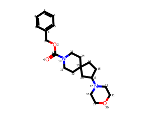 O=C(OCc1ccccc1)N1CCC2(CCC(N3CCOCC3)C2)CC1